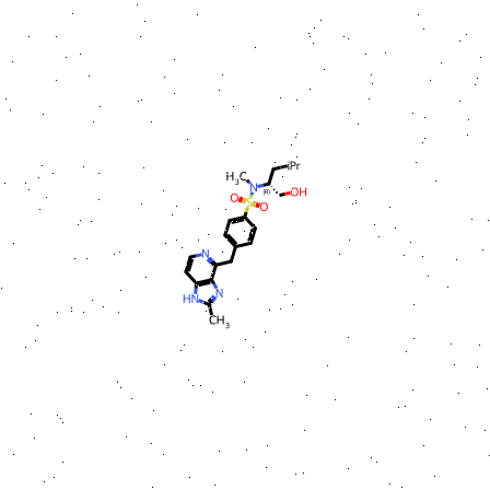 Cc1nc2c(Cc3ccc(S(=O)(=O)N(C)[C@@H](CO)CC(C)C)cc3)nccc2[nH]1